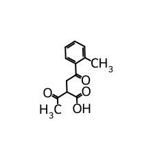 CC(=O)C(CC(=O)c1ccccc1C)C(=O)O